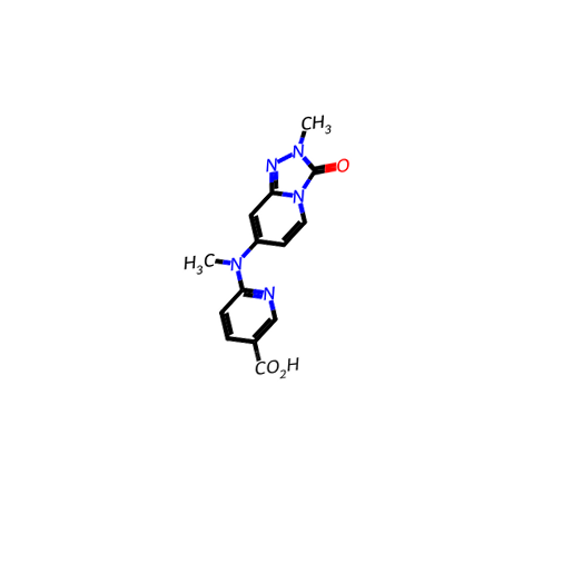 CN(c1ccn2c(=O)n(C)nc2c1)c1ccc(C(=O)O)cn1